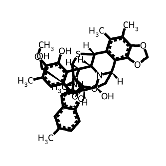 COc1c(C)cc2c(c1O)[C@@H]1[C@@H]3[C@@H]4SC[C@]5(N[C@H](CO)Cc6c5oc5ccc(C)cc65)C(=O)OC[C@@H](c5c6c(c(C)c(C)c54)OCO6)N3[C@@H](O)[C@H](C2)N1C